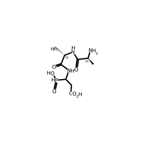 CCC[C@H](NC(=O)[C@H](C)N)C(=O)NC(CC(=O)O)[PH](=O)O